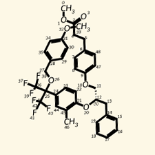 COC(=O)CCc1ccc(OC[C@H](Cc2ccccc2)Oc2ccc(C(OCc3ccc(OC)cc3)(C(F)(F)F)C(F)(F)F)cc2C)cc1